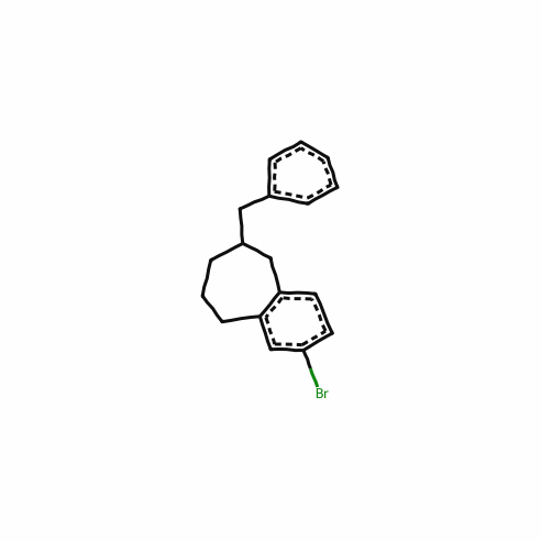 Brc1ccc2c(c1)CCCC(Cc1ccccc1)C2